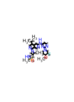 CO[C@H]1CCN(c2nccc(Nc3cc4c(C(C)C)cnc(N5C[C@H](CS(C)(=N)=O)[C@H]5C)c4cn3)n2)C[C@H]1F